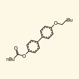 CCCCC(=O)Oc1ccc(-c2ccc(OCC(C)CC)cc2)cc1